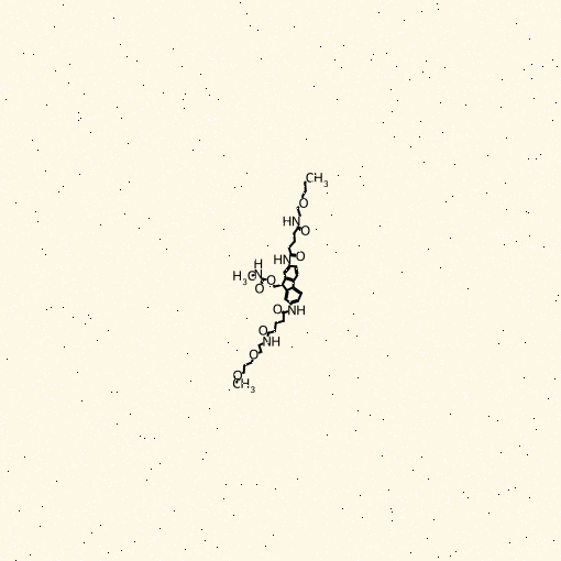 CCCCOCCNC(=O)CCCC(=O)Nc1ccc2c(c1)C(COC(=O)NC)c1cc(NC(=O)CCCC(=O)NCCOCCCOC)ccc1-2